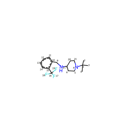 CC(C)(C)N1CCC(NCc2ccccc2C(F)(F)F)CC1